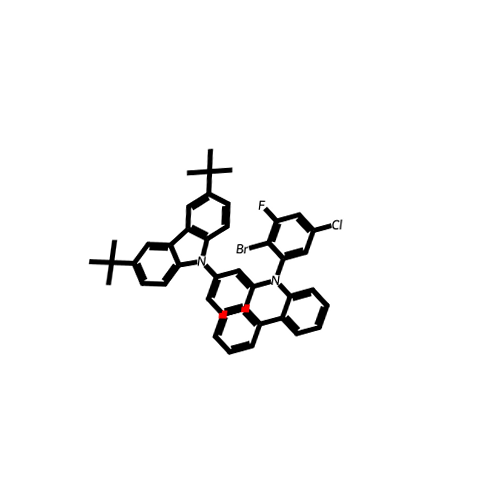 CC(C)(C)c1ccc2c(c1)c1cc(C(C)(C)C)ccc1n2-c1cccc(N(c2ccccc2-c2ccccc2)c2cc(Cl)cc(F)c2Br)c1